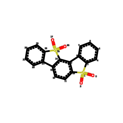 O=S1(=O)c2ccccc2-c2c1ccc1c2S(=O)(=O)c2ccccc2-1